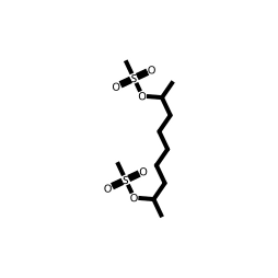 CC(CCCCCC(C)OS(C)(=O)=O)OS(C)(=O)=O